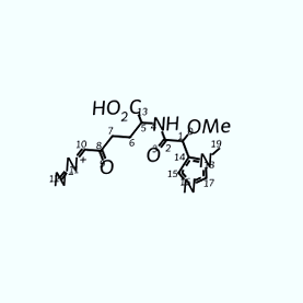 COC(C(=O)NC(CCC(=O)C=[N+]=[N-])C(=O)O)c1cncn1C